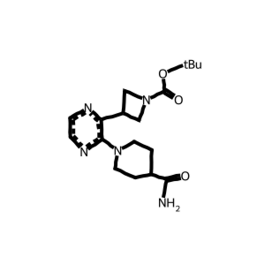 CC(C)(C)OC(=O)N1CC(c2nccnc2N2CCC(C(N)=O)CC2)C1